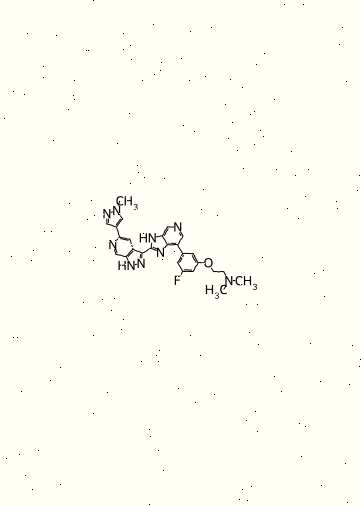 CN(C)CCOc1cc(F)cc(-c2cncc3[nH]c(-c4n[nH]c5cnc(-c6cnn(C)c6)cc45)nc23)c1